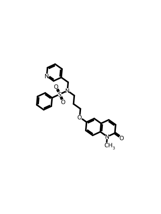 Cn1c(=O)ccc2cc(OCCCN(Cc3cccnc3)S(=O)(=O)c3ccccc3)ccc21